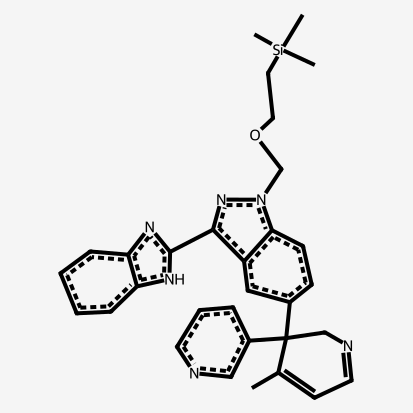 CC1=CC=NCC1(c1cccnc1)c1ccc2c(c1)c(-c1nc3ccccc3[nH]1)nn2COCC[Si](C)(C)C